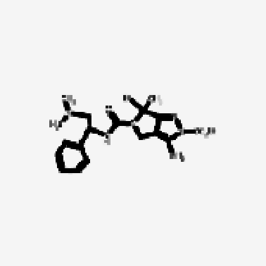 CCOC(=O)n1nc2c(c1N)CN(C(=O)N[C@H](CN(C)C)c1ccccc1)C2(C)CC